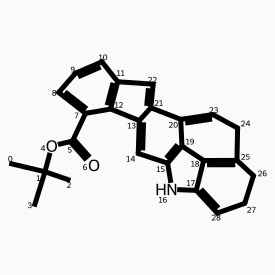 CC(C)(C)OC(=O)c1cccc2c1-c1cc3[nH]c4c5c3c(c1=C2)=CCC=5CCC=4